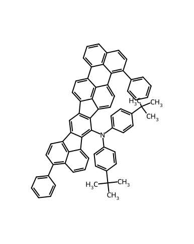 CC(C)(C)c1ccc(N(c2ccc(C(C)(C)C)cc2)c2c3c(cc4c5ccc6c7cccc8ccc(-c9ccccc9)c(c9ccc(c24)c5c69)c87)c2ccc(-c4ccccc4)c4cccc3c42)cc1